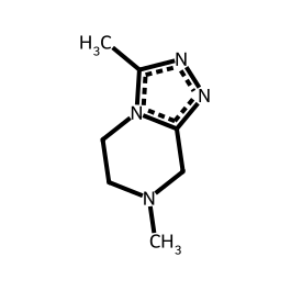 Cc1nnc2n1CCN(C)C2